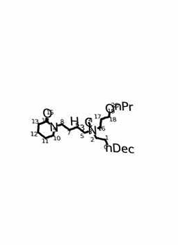 CCCCCCCCCCCC[N+](C)(CCCCN1CCCCC1=O)CCCOCCC